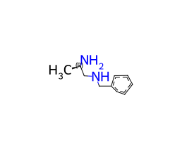 C[C@@H](N)CNCc1ccccc1